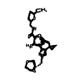 Cc1c(C(=O)NCC2CCC(C)O2)oc2c1-c1nn(C[C@H]3COCCO3)cc1C1(CC1)C2